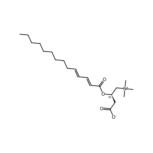 CCCCCCCCCC=CC=CC(=O)O[C@H](CC(=O)[O-])C[N+](C)(C)C